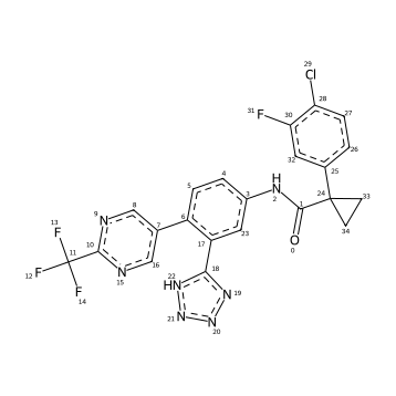 O=C(Nc1ccc(-c2cnc(C(F)(F)F)nc2)c(-c2nnn[nH]2)c1)C1(c2ccc(Cl)c(F)c2)CC1